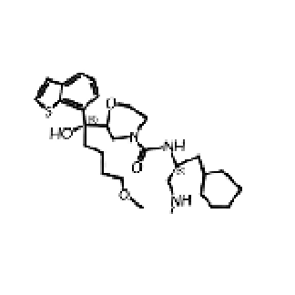 CNC[C@H](CC1CCCCC1)NC(=O)N1CCOC([C@](O)(CCCCOC)c2cccc3ccsc23)C1